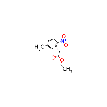 CCOC(=O)Cc1cc(C)ccc1[N+](=O)[O-]